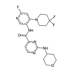 O=C(Nc1cnc(F)cc1N1CCC(F)(F)CC1)c1ccnc(NC2CCOCC2)n1